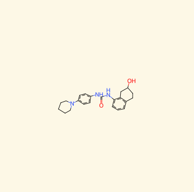 O=C(Nc1ccc(N2CCCCC2)cc1)Nc1cccc2c1CC(O)CC2